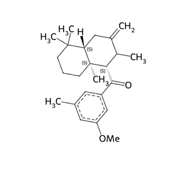 C=C1C[C@H]2C(C)(C)CCC[C@]2(C)[C@@H](C(=O)c2cc(C)cc(OC)c2)C1C